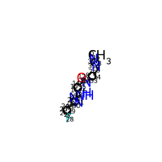 CN1CCN(Cc2ccc(NC(=O)c3cccc(Nc4ncc(-c5cccc(F)c5)cn4)c3)cc2)CC1